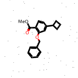 COC(=O)c1ccc(C2CCC2)cc1OCc1ccccc1